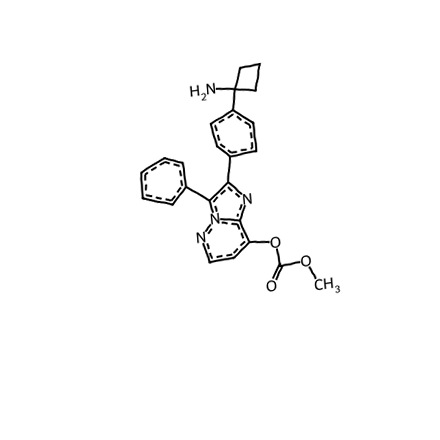 COC(=O)Oc1ccnn2c(-c3ccccc3)c(-c3ccc(C4(N)CCC4)cc3)nc12